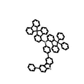 c1ccc(-c2ccc3sc4ccc(-c5ccc(N(c6cccc7c6-c6ccccc6C7(c6ccccc6)c6ccccc6)c6cccc7c6-c6ccccc6C76c7ccccc7-c7ccccc76)cc5)cc4c3c2)cc1